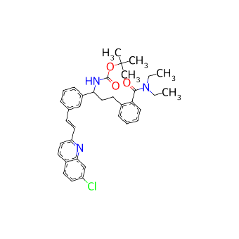 CCN(CC)C(=O)c1ccccc1CCC(NC(=O)OC(C)(C)C)c1cccc(/C=C/c2ccc3ccc(Cl)cc3n2)c1